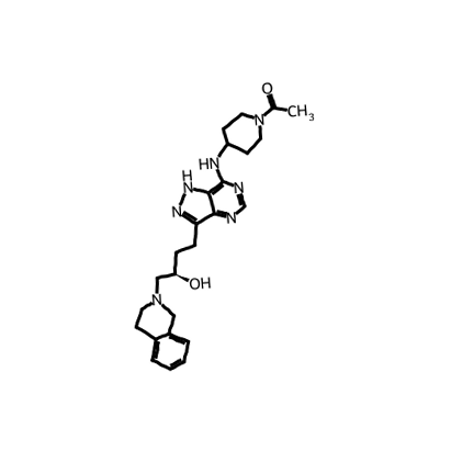 CC(=O)N1CCC(Nc2ncnc3c(CC[C@@H](O)CN4CCc5ccccc5C4)n[nH]c23)CC1